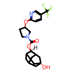 O=C(O[C@H]1C2CC3CC1C[C@](O)(C3)C2)N1CC[C@@H](Oc2ccc(C(F)(F)F)cn2)C1